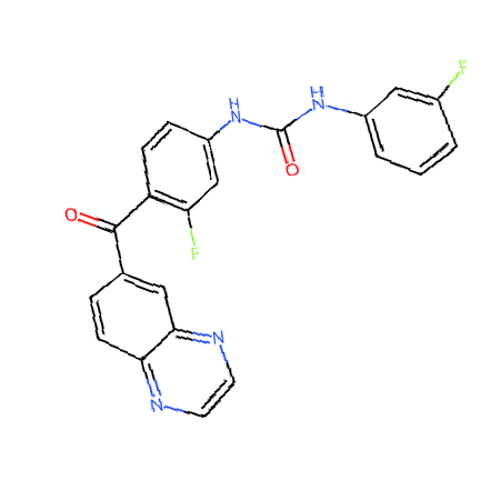 O=C(Nc1cccc(F)c1)Nc1ccc(C(=O)c2ccc3nccnc3c2)c(F)c1